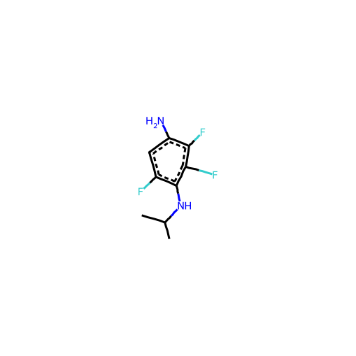 CC(C)Nc1c(F)cc(N)c(F)c1F